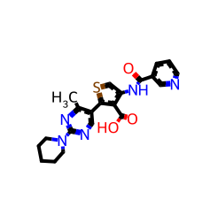 Cc1nc(N2CCCCC2)ncc1-c1scc(NC(=O)c2cccnc2)c1C(=O)O